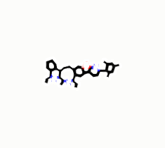 C=CC1=NC2C(=C)/N=C(/C=C)c3cc4c(cc3CCC2c2ccccc21)oc1nc(-c2c(C)cc(C)cc2C)ccc14